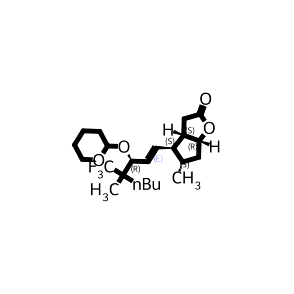 CCCCC(C)([C@@H](/C=C/[C@H]1[C@@H]2CC(=O)O[C@@H]2C[C@@H]1C)OC1CCCCO1)C(F)(F)F